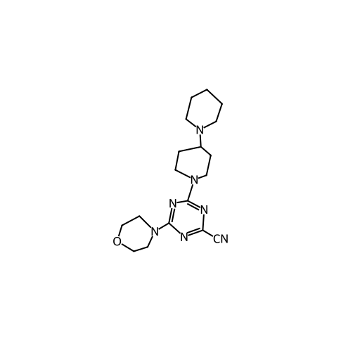 N#Cc1nc(N2CCOCC2)nc(N2CCC(N3CCCCC3)CC2)n1